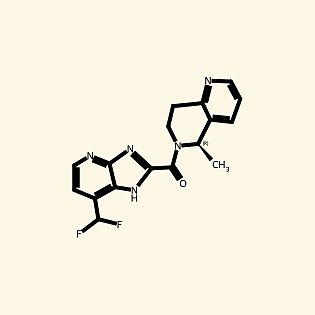 C[C@@H]1c2cccnc2CCN1C(=O)c1nc2nccc(C(F)F)c2[nH]1